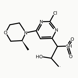 [CH2]C(O)C(c1cc(N2CCOC[C@@H]2C)nc(Cl)n1)[SH](=O)=O